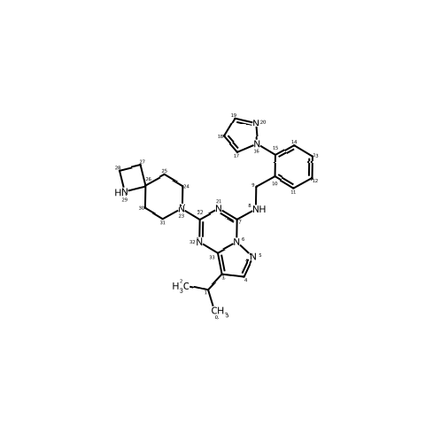 CC(C)c1cnn2c(NCc3ccccc3-n3cccn3)nc(N3CCC4(CCN4)CC3)nc12